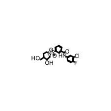 O=C(Nc1ccc(F)c(Cl)c1)c1cccc(S(=O)(=O)N2CCC(CO)C(O)C2)c1